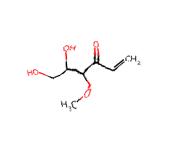 C=CC(=O)C(OC)C(O)CO